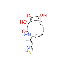 C/C(=C\c1csc(C)n1)[C@@H]1C/C=C\CCC[C@@H]2C[C@@](C)(C(=O)[C@H](C)[C@H]2O)[C@@H](O)CC(=O)N1